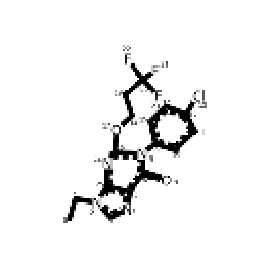 CCn1cnc2c(=O)n(-c3ccc(Cl)cc3)c(OCCC(F)(F)F)nc21